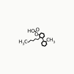 CCCCCCc1c(OC(=O)O)cccc1-c1ccccc1C